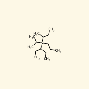 CCC[Si](C(C)C)(C(C)CC)N(CC)CC